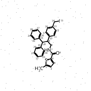 Cc1ccc(C(=O)NCC(c2ccc(CI)cc2)C(c2ccccc2)c2ccccc2)s1